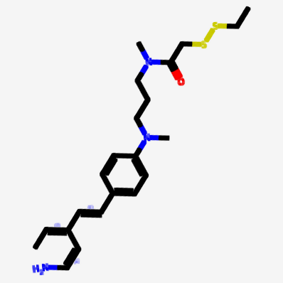 C/C=C(\C=C/N)/C=C/c1ccc(N(C)CCCN(C)C(=O)CSSCC)cc1